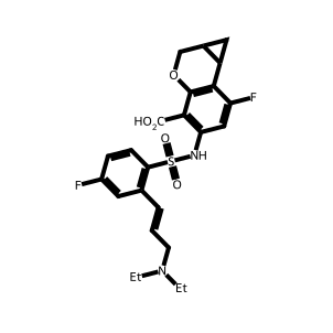 CCN(CC)CC=Cc1cc(F)ccc1S(=O)(=O)Nc1cc(F)c2c(c1C(=O)O)OCC1CC21